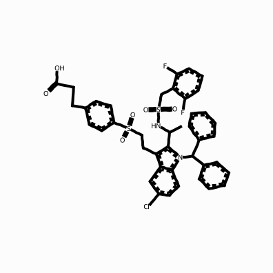 CC(NS(=O)(=O)Cc1c(F)cccc1F)c1c(CCS(=O)(=O)c2ccc(CCC(=O)O)cc2)c2cc(Cl)ccc2n1C(c1ccccc1)c1ccccc1